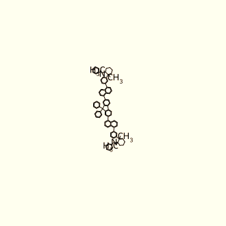 CC12CCCCC1(C)N(c1ccccc1)c1ccc(-c3cccc4c(-c5ccc6c(c5)C(c5ccccc5)(c5ccccc5)c5cc(-c7cccc8c(-c9ccc%10c(c9)C9(C)CCCCC9(C)N%10c9ccccc9)cccc78)ccc5-6)cccc34)cc12